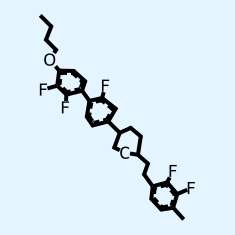 CCCCOc1ccc(-c2ccc(C3CCC(CCc4ccc(C)c(F)c4F)CC3)cc2F)c(F)c1F